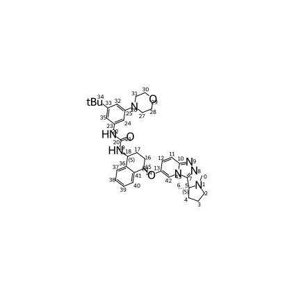 CN1CCC[C@@]1(C)c1nnc2ccc(O[C@@H]3CC[C@H](NC(=O)Nc4cc(N5CCOCC5)cc(C(C)(C)C)c4)c4ccccc43)cn12